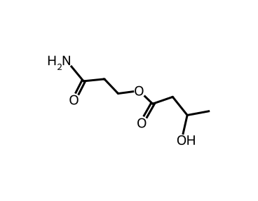 CC(O)CC(=O)OCCC(N)=O